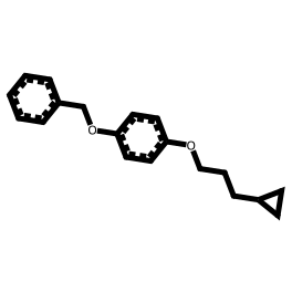 c1ccc(COc2ccc(OCCCC3CC3)cc2)cc1